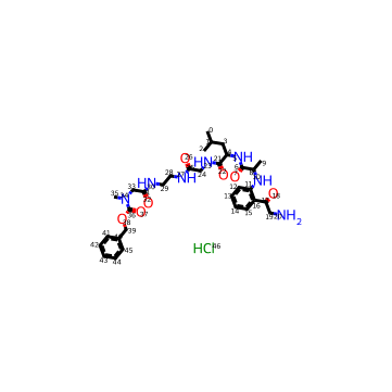 CC(C)CC(NC(=O)C(C)Nc1ccccc1C(=O)CN)C(=O)NCC(=O)NCCNC(=O)CN(C)C(=O)OCc1ccccc1.Cl